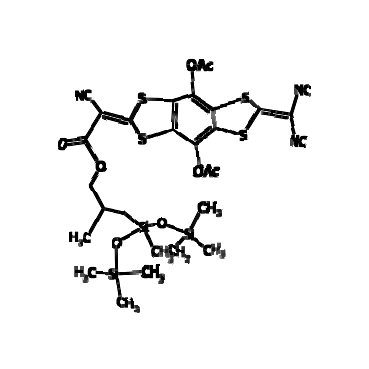 [C-]#[N+]C([N+]#[C-])=C1Sc2c(OC(C)=O)c3c(c(OC(C)=O)c2S1)SC(=C(C#N)C(=O)OCC(C)C[Si](C)(O[Si](C)(C)C)O[Si](C)(C)C)S3